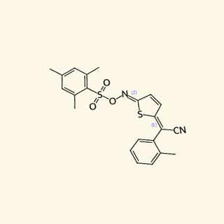 Cc1cc(C)c(S(=O)(=O)O/N=C2C=C/C(=C(\C#N)c3ccccc3C)S/2)c(C)c1